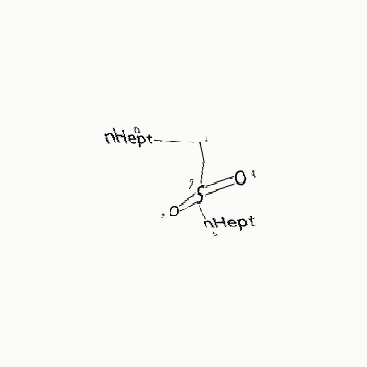 CCCCCCCCS(=O)(=O)CCCCCCC